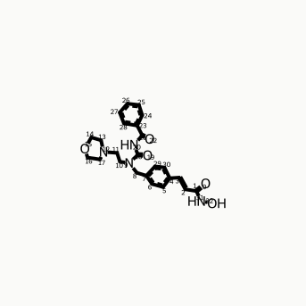 O=C(C=Cc1ccc(CN(CCN2CCOCC2)C(=O)NC(=O)c2ccccc2)cc1)NO